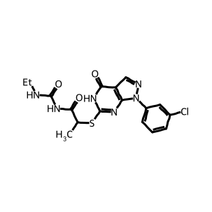 CCNC(=O)NC(=O)C(C)Sc1nc2c(cnn2-c2cccc(Cl)c2)c(=O)[nH]1